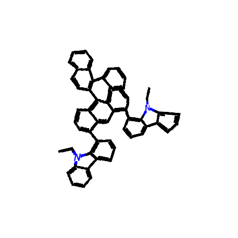 CCn1c2ccccc2c2cccc(-c3cccc4c(-c5ccc6ccccc6c5-c5ccccc5)c5cccc(-c6cccc7c8ccccc8n(CC)c67)c5cc34)c21